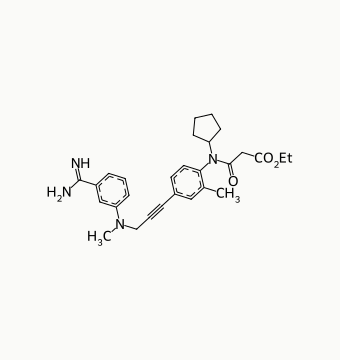 CCOC(=O)CC(=O)N(c1ccc(C#CCN(C)c2cccc(C(=N)N)c2)cc1C)C1CCCC1